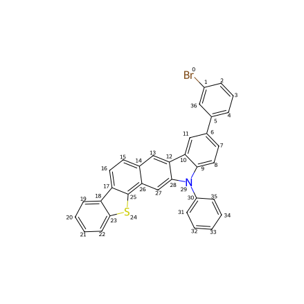 Brc1cccc(-c2ccc3c(c2)c2cc4ccc5c6ccccc6sc5c4cc2n3-c2ccccc2)c1